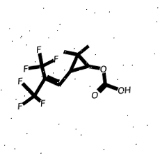 CC1(C)C(C=C(C(F)(F)F)C(F)(F)F)C1OC(=O)O